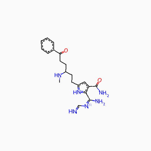 CNC(CCC(=O)c1ccccc1)CCc1cc(C(N)=O)c(/C(N)=N\C=N)[nH]1